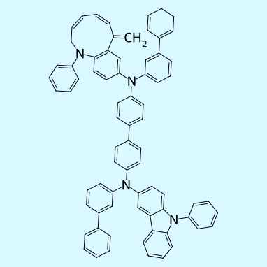 C=C1/C=C\C=C/CN(c2ccccc2)c2ccc(N(c3ccc(-c4ccc(N(c5cccc(-c6ccccc6)c5)c5ccc6c(c5)c5ccccc5n6-c5ccccc5)cc4)cc3)c3cccc(C4=CCCC=C4)c3)cc21